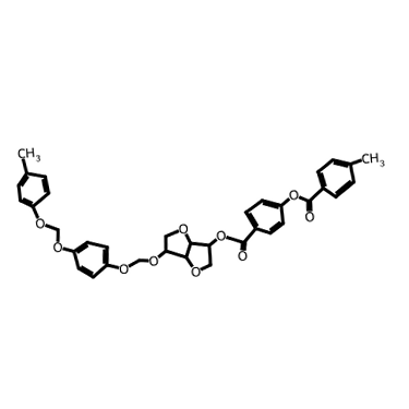 Cc1ccc(OCOc2ccc(OCOC3COC4C(OC(=O)c5ccc(OC(=O)c6ccc(C)cc6)cc5)COC34)cc2)cc1